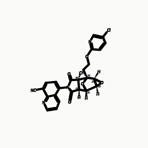 C[C@@]12C(=O)N(c3ccc(C#N)c4ncccc34)C(=O)[C@@H]1[C@@H]1O[C@@]2(CCOc2ccc(Cl)cn2)[C@H]2O[C@@H]12